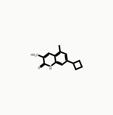 Cc1cc(C2CCC2)cc2[nH]c(=O)c(C(=O)O)cc12